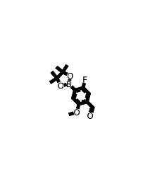 COc1cc(B2OC(C)(C)C(C)(C)O2)c(F)cc1C=O